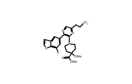 COC(=O)C1(OC)CCN(c2nc(CCC(F)(F)F)cnc2-c2cc(F)c3occc3c2)CC1